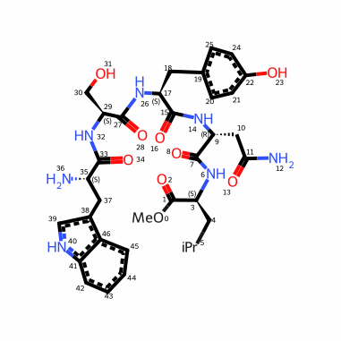 COC(=O)[C@H](CC(C)C)NC(=O)[C@@H](CC(N)=O)NC(=O)[C@H](Cc1ccc(O)cc1)NC(=O)[C@H](CO)NC(=O)[C@@H](N)Cc1c[nH]c2ccccc12